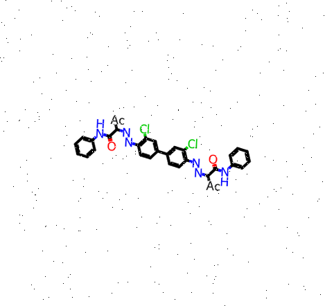 CC(=O)C(N=Nc1ccc(-c2ccc(N=NC(C(C)=O)C(=O)Nc3ccccc3)c(Cl)c2)cc1Cl)C(=O)Nc1ccccc1